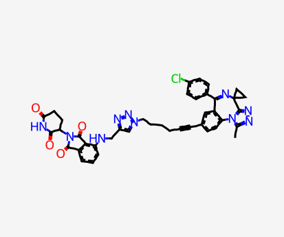 Cc1nnc2n1-c1ccc(C#CCCCCn3cc(CNc4cccc5c4C(=O)N(C4CCC(=O)NC4=O)C5=O)nn3)cc1C(c1ccc(Cl)cc1)=NC21CC1